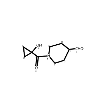 O=[C]C1CCN(C(=O)C2(O)CC2)CC1